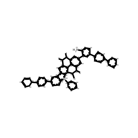 CC1c2cc(-c3cc(-c4ccc(-c5ccccc5)cc4)ccc3N)cc3c2-c2c(cc4c5cc(-c6ccc(C7C=CC=CC7)cc6)ccc5n(-c5ccccc5)c4c2C(C)C3C)C1C